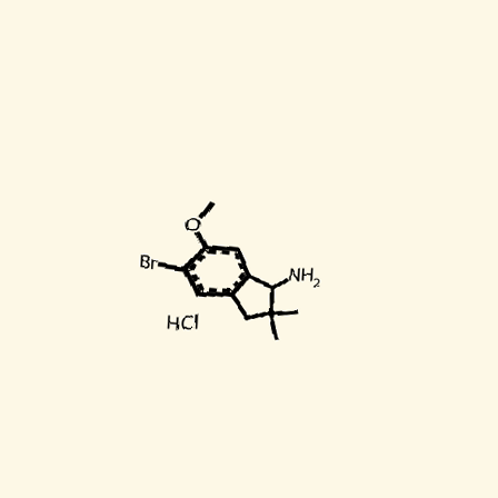 COc1cc2c(cc1Br)CC(C)(C)C2N.Cl